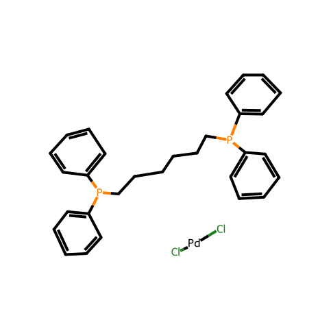 [Cl][Pd][Cl].c1ccc(P(CCCCCCP(c2ccccc2)c2ccccc2)c2ccccc2)cc1